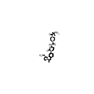 CC(Cc1ccc(-n2ccc(NC(=O)N3CCN(C(=O)C(C)(C)N)CC3)nc2=O)cc1)N1CC[C@@H](CN)C1